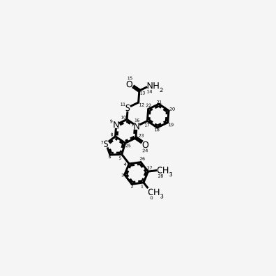 Cc1ccc(-c2csc3nc(SCC(N)=O)n(-c4ccccc4)c(=O)c23)cc1C